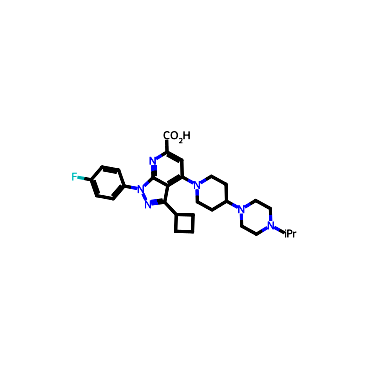 CC(C)N1CCN(C2CCN(c3cc(C(=O)O)nc4c3c(C3CCC3)nn4-c3ccc(F)cc3)CC2)CC1